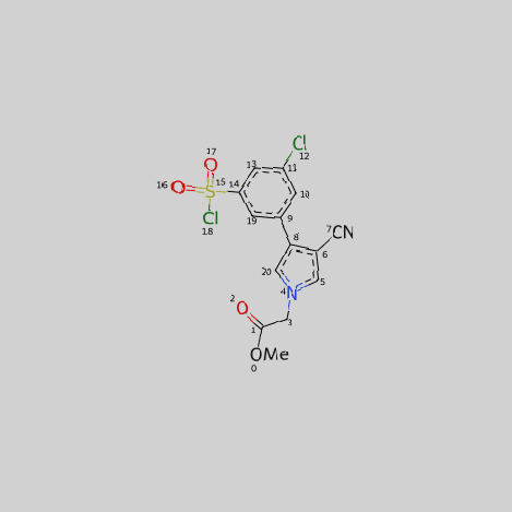 COC(=O)Cn1cc(C#N)c(-c2cc(Cl)cc(S(=O)(=O)Cl)c2)c1